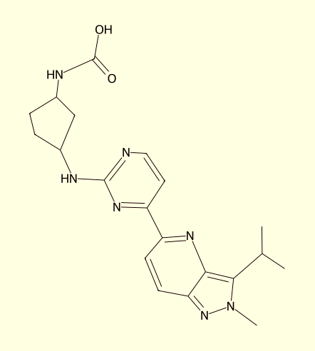 CC(C)c1c2nc(-c3ccnc(NC4CCC(NC(=O)O)C4)n3)ccc2nn1C